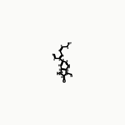 C=C/C(=C\C=C/CF)c1cnc2c(c1)[nH]c(=O)n2C